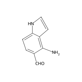 Nc1c(C=O)ccc2[nH]ccc12